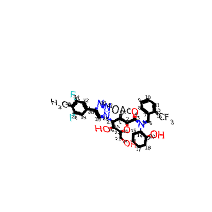 CC(=O)OC1C(C(=O)N(Cc2ccccc2C(F)(F)F)[C@H]2CCCC[C@@H]2O)OC(CO)C(O)C1n1cc(-c2cc(F)c(C)c(F)c2)nn1